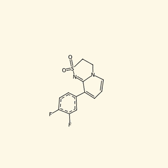 O=S1(=O)CCN2C=CC=C(c3ccc(F)c(F)c3)C2=N1